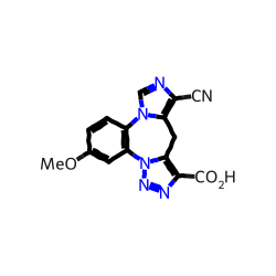 COc1ccc2c(c1)-n1nnc(C(=O)O)c1Cc1c(C#N)ncn1-2